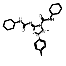 Cc1ccc([C@H]2SC(=NC(=O)NC3CCCCC3)N(C(=O)NC3CCCCC3)[C@@H]2C)cc1